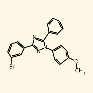 COc1ccc(-n2nc(-c3cccc(Br)c3)nc2-c2ccccc2)cc1